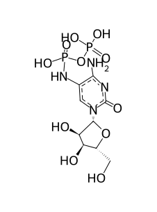 Nc1nc(=O)n([C@@H]2O[C@H](CO)[C@@H](O)[C@H]2O)cc1NP(=O)(O)OP(=O)(O)O